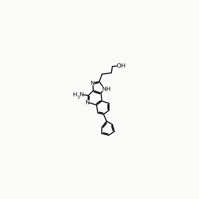 Nc1nc2cc(-c3ccccc3)ccc2c2[nH]c(CCCO)nc12